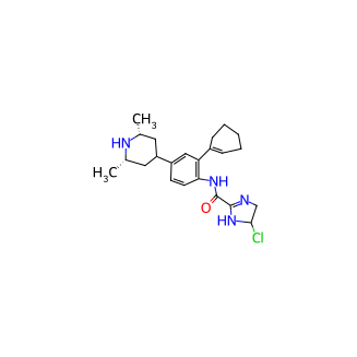 C[C@@H]1CC(c2ccc(NC(=O)C3=NCC(Cl)N3)c(C3=CCCCC3)c2)C[C@H](C)N1